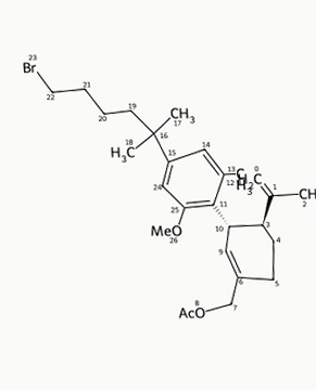 C=C(C)[C@H]1CCC(COC(C)=O)=C[C@@H]1c1c(C)cc(C(C)(C)CCCCBr)cc1OC